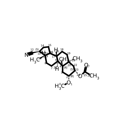 CO[C@@H]1C[C@]2(C)[C@H]3CC[C@]4(C)[C@@H](C#N)CC[C@H]4[C@@H]3CC[C@@]2(C)C[C@@H]1OC(C)=O